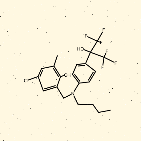 CCCCN(Cc1cc(Cl)cc(C)c1O)c1ccc(C(O)(C(F)(F)F)C(F)(F)F)cc1